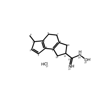 CC1C=CC2=C1CCC1=C2CC(C(=N)NO)C1.Cl